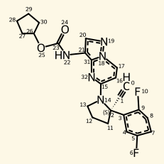 C#C[C@]1(c2cc(F)ccc2F)CCCN1c1ccn2ncc(NC(=O)OC3CCCC3)c2n1